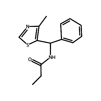 CCC(=O)NC(c1ccccc1)c1scnc1C